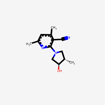 Cc1cc(C)c(C#N)c(N2C[C@H](C)[C@@H](O)C2)n1